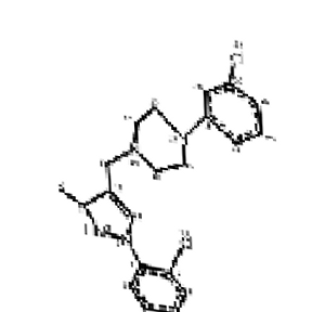 CC1NN(c2ccccc2Cl)C=C1CN1CCN(c2cccc(Cl)c2)CC1